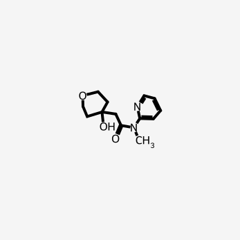 CN(C(=O)CC1(O)CCOCC1)c1ccccn1